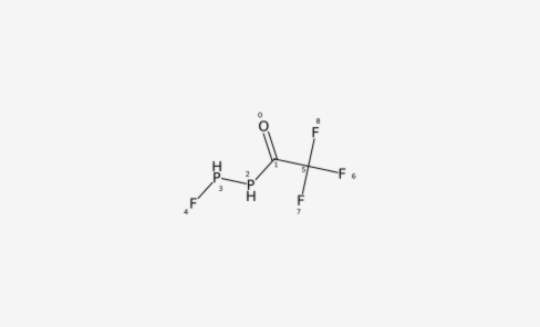 O=C(PPF)C(F)(F)F